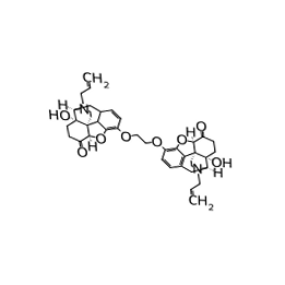 C=CCN1CC[C@]23c4c5ccc(OCCOC6=C7O[C@H]8C(=O)CC[C@@]9(O)[C@H]%10CC(C=C6)C7[C@@]89CCN%10CC=C)c4O[C@H]2C(=O)CC[C@@]3(O)[C@H]1C5